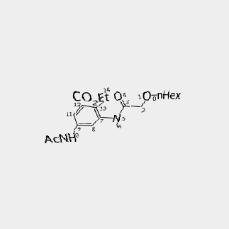 CCCCCCOCC(=O)N(C)c1cc(NC(C)=O)ccc1C(=O)OCC